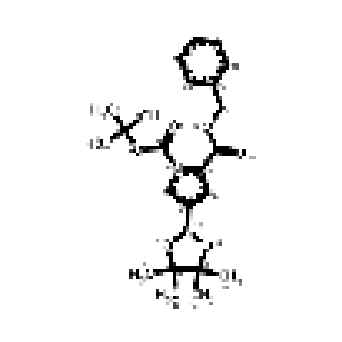 CC(C)(C)OC(=O)n1cc(B2OC(C)(C)C(C)(C)O2)cc1C(=O)OCc1ccccc1